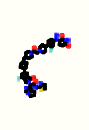 O=C1CC[C@H](Nc2ccc(C3CCN(CC(=O)N4CCC(Cc5ccc(-c6cc(F)c7c(c6)C(=O)N(C(C(=O)Nc6nccs6)c6ncn8c6CCC8)C7)cc5)CC4)CC3)c(F)c2)C(=O)N1